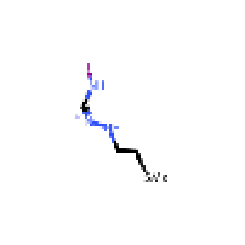 CSCCN/N=C\NI